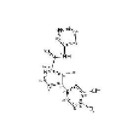 O=C(Nc1cccnc1)c1ncnc(-c2ccc(Cl)c(Cl)c2)c1F